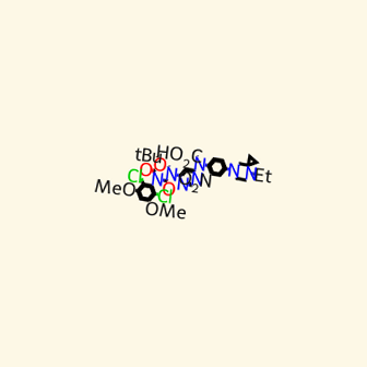 CCN1CCN(c2ccc(N(C(=O)O)c3cc(N(C)C(=O)N(C(=O)OC(C)(C)C)c4c(Cl)c(OC)cc(OC)c4Cl)ncn3)c([N+](=O)[O-])c2)CC12CC2